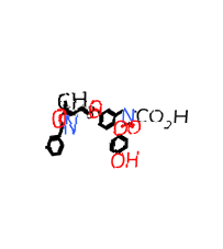 Cc1oc(-c2ccccc2)nc1CCOc1cccc(CN(CC(=O)O)C(=O)Oc2ccc(O)cc2)c1